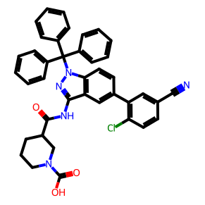 N#Cc1ccc(Cl)c(-c2ccc3c(c2)c(NC(=O)C2CCCN(C(=O)O)C2)nn3C(c2ccccc2)(c2ccccc2)c2ccccc2)c1